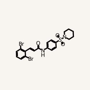 O=C(/C=C/c1c(Br)cccc1Br)Nc1ccc(S(=O)(=O)N2CCCCC2)cc1